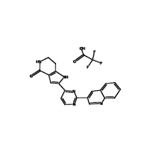 O=C(O)C(F)(F)F.O=C1NCCc2[nH]c(-c3ccnc(-c4cnc5ccccc5c4)n3)cc21